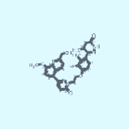 CCc1ccc2c(-c3ccc(=O)n(CCOc4ccc(C5=NNC(=O)CC5C)c(F)c4F)n3)ccc(OC)c2n1